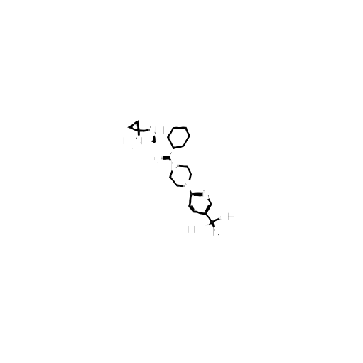 CC(C)(N)c1ccc(N2CCN(C(=O)[C@@H]3CCCC[C@H]3C(=O)NC3(N)CC3)CC2)nc1